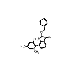 Cc1cc(C)c(-c2cccc3c2nc(NCc2ccccc2)n3C(C)C)c(C)c1